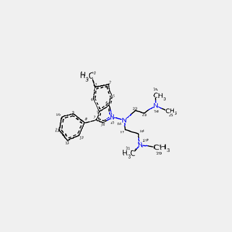 Cc1ccc2c(c1)c(-c1ccccc1)cn2N(CCN(C)C)CCN(C)C